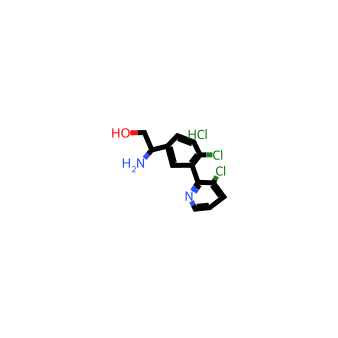 Cl.NC(CO)c1ccc(Cl)c(-c2ncccc2Cl)c1